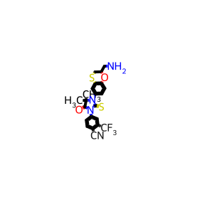 CC1(C)C(=O)N(c2ccc(C#N)c(C(F)(F)F)c2)C(=S)N1c1ccc2c(c1)SCC(CN)O2